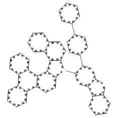 c1ccc(-c2ccc(-c3nc4oc5ccccc5c4nc3-n3c4ccc5ccccc5c4c4c5c6ccccc6c6ccccc6c5ccc43)cc2)cc1